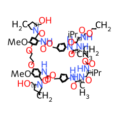 C=CCOC(=O)N[C@H](C(=O)N[C@@H](C)C(=O)Nc1ccc(COC(=O)Nc2cc(OCCCOc3cc(NC(=O)OCc4ccc(NC(=O)[C@H](C)NC(=O)[C@@H](NC(=O)OCC=C)C(C)C)cc4)c(C(=O)N4CC(=C)C[C@H]4CO)cc3OC)c(OC)cc2C(=O)N2CC(=C)C[C@H]2CO)cc1)C(C)C